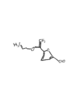 C=CCOC(=C)c1ccc(C=O)o1